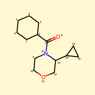 O=C(C1CCCCC1)N1CCOCC1C1CC1